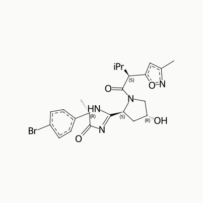 Cc1cc([C@@H](C(=O)N2C[C@H](O)C[C@H]2C2=NC(=O)[C@@](C)(c3ccc(Br)cc3)N2)C(C)C)on1